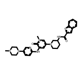 CN1CCN(c2ccc(Nc3cc(N4CCCC(NC(=O)c5cc6ccccc6s5)C4)cn(C)c3=O)nc2)CC1